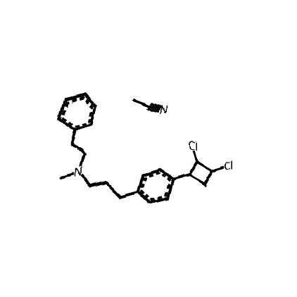 CC#N.CN(CCCc1ccc(C2CC(Cl)C2Cl)cc1)CCc1ccccc1